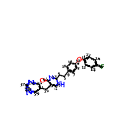 O=c1nc(CCc2ccc(Oc3ccc(F)cc3)cc2)[nH]cc1Cc1cncnc1